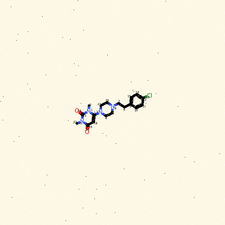 Cn1c(N2CCN(CCc3ccc(Cl)cc3)CC2)cc(=O)n(C)c1=O